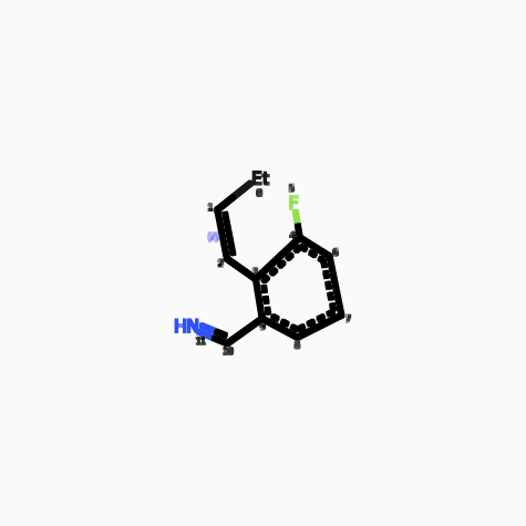 CC/C=C\c1c(F)cccc1C=N